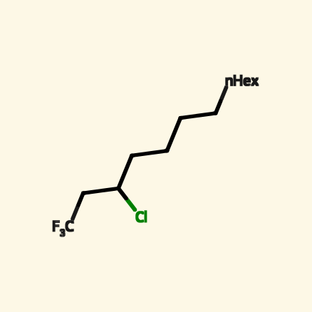 CCCCCCCCCCC(Cl)CC(F)(F)F